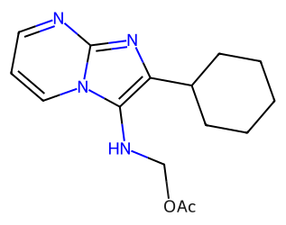 CC(=O)OCNc1c(C2CCCCC2)nc2ncccn12